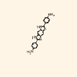 Nc1ccc(-c2nc3cc4nc(-c5ccc(N)cc5)[nH]c4cc3[nH]2)cc1